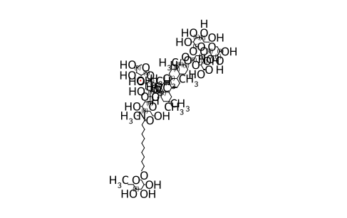 CCC1OC(OCCCCCCCCCCCC(=O)N(C)[C@H]2C(CO)O[C@@H]3C(OC3(OC(=O)[C@]34CCC(C)(C)CC3C3=CCC5C6(C)CC[C@H](O[C@@H]7OC(C(=O)O)[C@@H](O)[C@H](O[C@@H]8OC[C@@H](O)[C@H](O)C8O)C7O[C@@H]7OC(CO)[C@H](O)[C@H](O)C7O)[C@](C)(C=O)[C@@H]6CC[C@]5(C)[C@]3(C)CC4O)[C@@H]3OC(C)[C@H](O[C@@H]4OC[C@@H](O)C(O)C4O)C(O)C3O)C2O)C(O)C(O)[C@H]1O